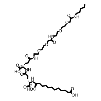 CCCCCNC(=O)COCCOCCNC(=O)COCCOCCNC(=O)CC[C@H](NC(=O)CC[C@H](NC(=O)CCCCCCCCCCC(=O)O)C(=O)O)C(=O)O